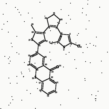 Cc1sc(Cl)cc1C1=C(c2cc(-c3ccc4sc5ccccc5c(=O)c4c3)sc2C)CCC1